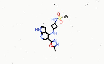 CCCS(=O)(=O)NC1CC(Nc2c(-c3nnc(C)o3)cnc3[nH]ccc23)C1